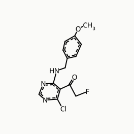 COc1ccc(CNc2ncnc(Cl)c2C(=O)CF)cc1